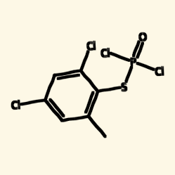 Cc1cc(Cl)cc(Cl)c1SP(=O)(Cl)Cl